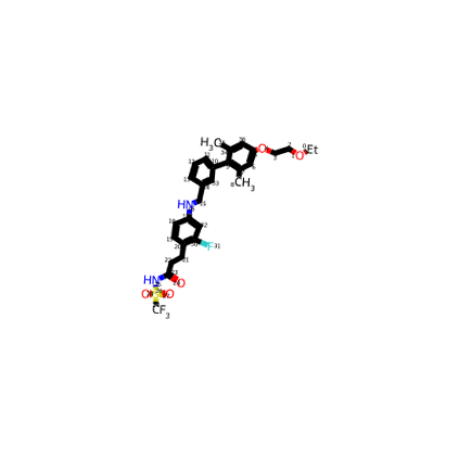 CCOCCOc1cc(C)c(-c2cccc(CNc3ccc(CCC(=O)NS(=O)(=O)C(F)(F)F)c(F)c3)c2)c(C)c1